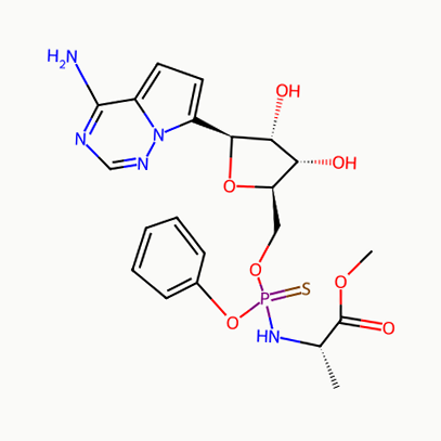 COC(=O)[C@H](C)NP(=S)(OC[C@H]1O[C@@H](c2ccc3c(N)ncnn23)[C@H](O)[C@@H]1O)Oc1ccccc1